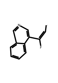 [CH2]/C=C(/F)c1cncc2ccccc12